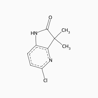 CC1(C)C(=O)Nc2ccc(Cl)nc21